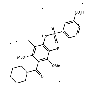 COc1c(F)c(NS(=O)(=O)c2cccc(C(=O)O)c2)c(F)c(OC)c1C(=O)N1CCCCC1